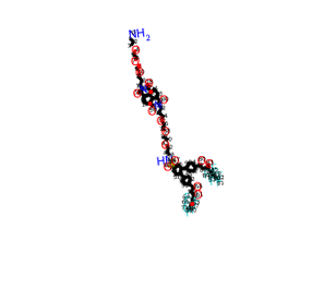 NCCCOCCOCCOCCCN1C(=O)c2ccc3c4c(ccc(c24)C1=O)C(=O)N(CCCOCCOCCOCCCNS(=O)(=O)c1ccc(-c2ccc(C(=O)CC(=O)C(F)(F)C(F)(F)C(F)(F)F)cc2)c(-c2ccc(C(=O)CC(=O)C(F)(F)C(F)(F)C(F)(F)F)cc2)c1)C3=O